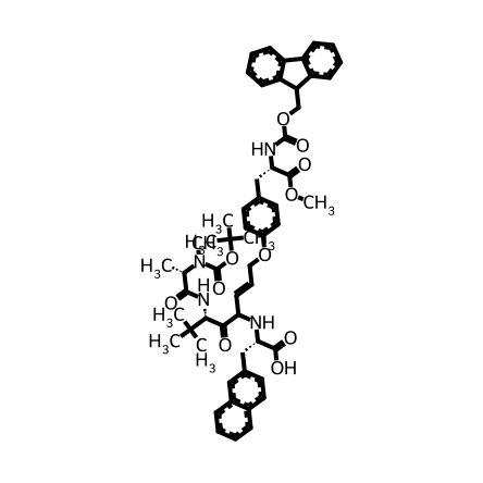 COC(=O)[C@H](Cc1ccc(OC/C=C/C(N[C@@H](Cc2ccc3ccccc3c2)C(=O)O)C(=O)[C@@H](NC(=O)[C@H](C)N(C)C(=O)OC(C)(C)C)C(C)(C)C)cc1)NC(=O)OCC1c2ccccc2-c2ccccc21